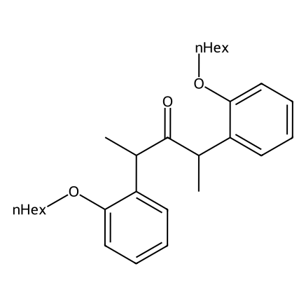 CCCCCCOc1ccccc1C(C)C(=O)C(C)c1ccccc1OCCCCCC